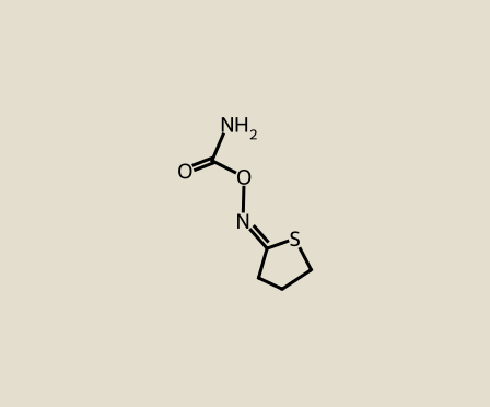 NC(=O)ON=C1CCCS1